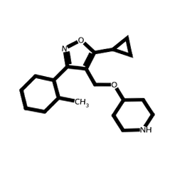 CC1CCCCC1c1noc(C2CC2)c1COC1CCNCC1